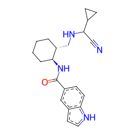 N#CC(NC[C@H]1CCCC[C@@H]1NC(=O)c1ccc2[nH]ccc2c1)C1CC1